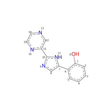 Oc1ccccc1-c1cnc(-c2cnccn2)[nH]1